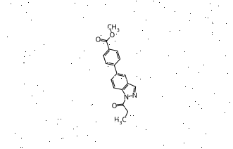 CCC(=O)n1ncc2cc(-c3ccc(C(=O)OC)cc3)ccc21